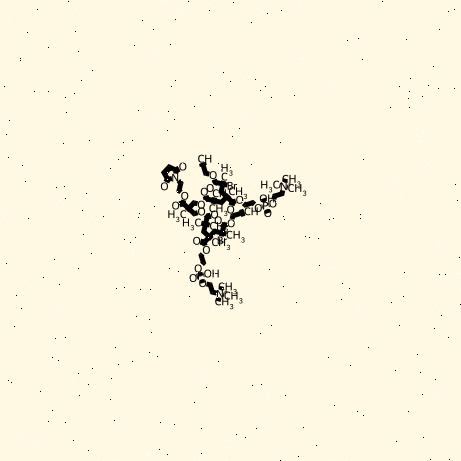 C#CCOC(=O)C(C)(Br)CC(C)(CC(C)(C)C(=O)OCC(C)(COC(=O)C(C)(C)CC(C)(CC(C)(Br)C(=O)OCC#C)C(=O)OCCOP(=O)(O)OCC[N+](C)(C)C)C(=O)OCCN1C(=O)C=CC1=O)C(=O)OCCOP(=O)(O)OCC[N+](C)(C)C